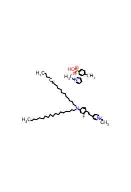 CCCCCCCCCCCCCCCCCCN(CCCCCCCCCCCCCCCCCC)c1ccc(C=Cc2cc[n+](CC)cc2)c(F)c1.CC[n+]1ccccc1.Cc1ccc(S(=O)(=O)O)cc1